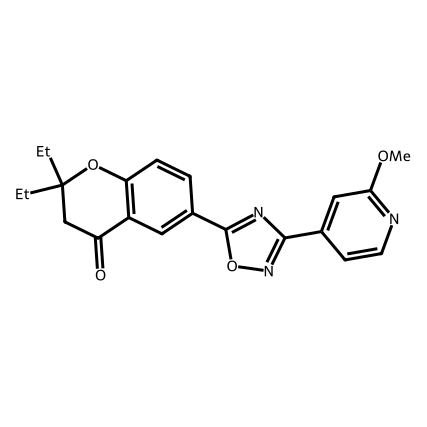 CCC1(CC)CC(=O)c2cc(-c3nc(-c4ccnc(OC)c4)no3)ccc2O1